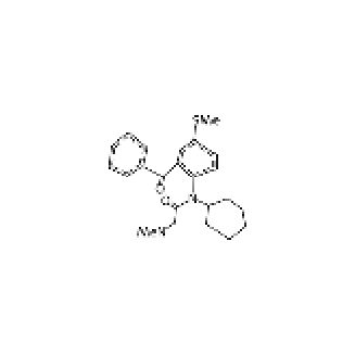 CNCC(=O)N(c1ccc(SC)cc1C(=O)c1ccccc1)C1CCCCC1